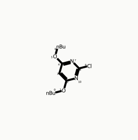 CCCCOc1cc(OCCCC)nc(Cl)n1